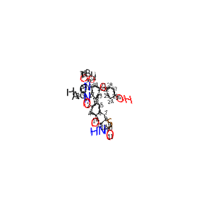 CC(=O)N(Oc1ccc(CC2SC(=O)NC2=O)cc1)c1ccc(Oc2ccc(O)cc2)cc1N(C)C(=O)OC(C)(C)C